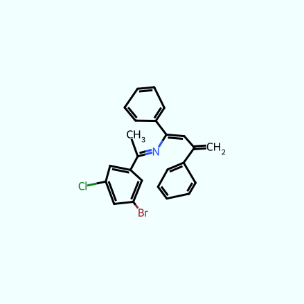 C=C(/C=C(\N=C(/C)c1cc(Cl)cc(Br)c1)c1ccccc1)c1ccccc1